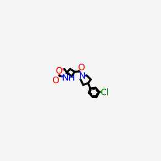 O=C1NC2(CO1)CC(C(=O)N1CCC(c3cccc(Cl)c3)CC1)C2